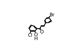 O=C(/C=C/c1ccc(Br)cc1)c1cccc(Cl)c1O